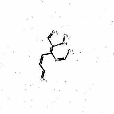 C=C\C=C/C(/N=C\C)=C(\C=C)NC